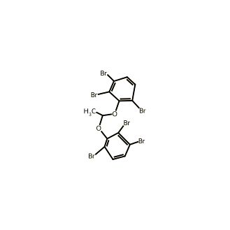 CC(Oc1c(Br)ccc(Br)c1Br)Oc1c(Br)ccc(Br)c1Br